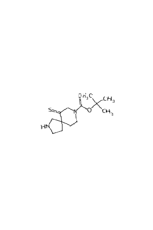 CC(C)(C)OC(=O)N1CCC2(CCNC2)C(=S)C1